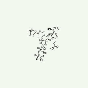 N=C(N)c1ccc(CCC(=O)O)c(OC(C(=O)C2CCN(c3ccncc3)CC2)[C@H]2CCCN2)c1.O=C(O)C(F)(F)F.O=C(O)C(F)(F)F